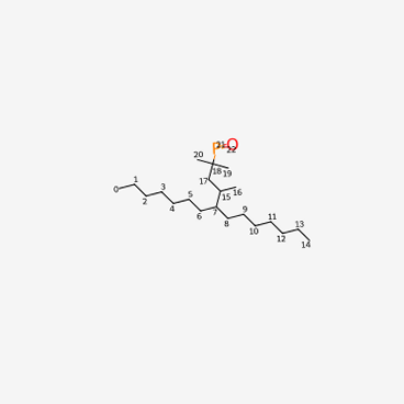 CCCCCCCC(CCCCCCC)C(C)CC(C)(C)P=O